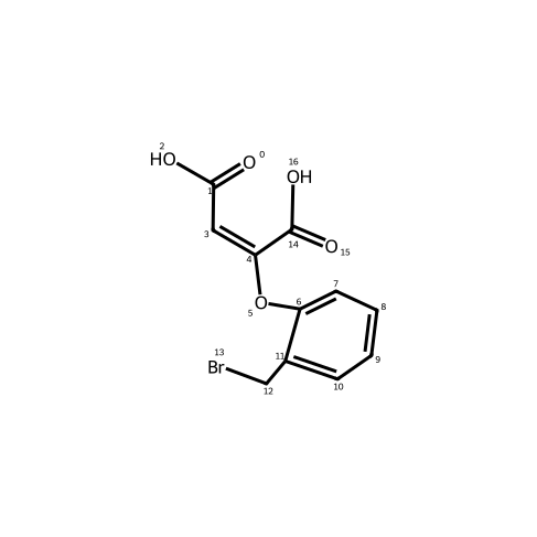 O=C(O)/C=C(/Oc1ccccc1CBr)C(=O)O